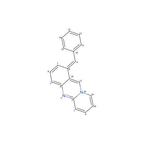 C1=CC2=Nc3cccc(=Cc4ccccc4)c3=CN2C=C1